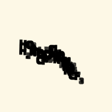 N[C@@H](CO)COc1cc(Cl)c(-c2noc(-c3cn4nc(C(F)(F)F)ccc4n3)n2)cc1Cl